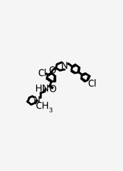 CC1CCCCN1CCCNC(=O)c1ccc(OC2CCN(Cc3ccc(-c4ccc(Cl)cc4)cc3)CC2)c(Cl)c1